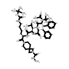 CNC(=O)N1CC2(CCN(C(=O)[C@@H](CCCCNC(=O)OC(C)(C)C)NC(=O)[C@@H](CC(C)C)NC(=O)[C@@H](Cc3ccccc3)NC(=O)[C@@H](Cc3ccccc3)N(C(=O)O)C(C)(C)C)CC2)C1